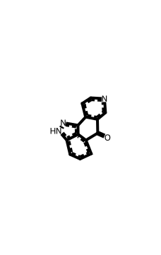 O=C1c2cnccc2-c2n[nH]c3cccc1c23